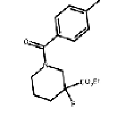 CCOC(=O)C1(F)CCCN(C(=O)c2ccc(F)cc2)C1